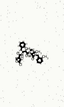 Cc1ccccc1CN1C(=O)[C@H]2N(C(=O)[C@@H](O)[C@H](Cc3ccccc3)NC(=O)c3cc(Cl)on3)CSC21C